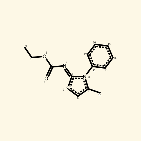 CCOC(=O)/N=c1\scc(C)n1-c1ccccc1